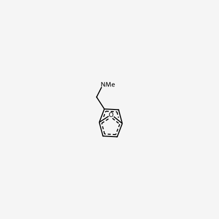 CNCc1cc2ccc1o2